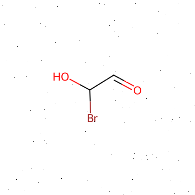 O=CC(O)Br